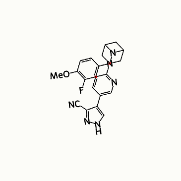 COc1ccc(CN2C3CC2CN(c2ccc(-c4c[nH]nc4C#N)cn2)C3)cc1F